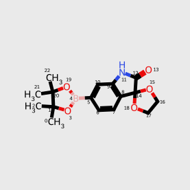 CC1(C)OB(c2ccc3c(c2)NC(=O)C32OCCO2)OC1(C)C